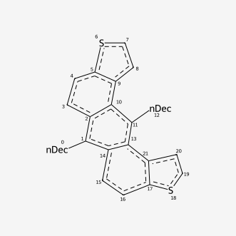 CCCCCCCCCCc1c2ccc3sccc3c2c(CCCCCCCCCC)c2c1ccc1sccc12